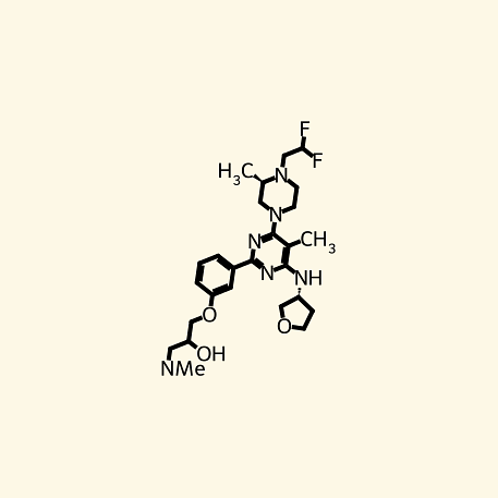 CNCC(O)COc1cccc(-c2nc(N[C@@H]3CCOC3)c(C)c(N3CCN(CC(F)F)[C@H](C)C3)n2)c1